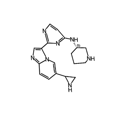 c1cc(N[C@H]2CCCNC2)nc(-c2cnc3ccc(C4CN4)cn23)n1